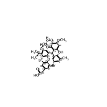 COc1cc(C(c2cccc(C)c2)c2c(O)cc(OC)c(OC)c2OC)c(Oc2c(Br)cc(CC(=O)O)cc2Br)cc1C(C)C